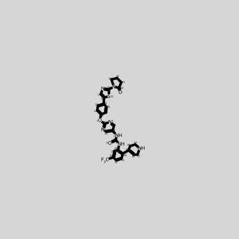 O=C(Nc1cnc(Oc2ccc(-c3cnc(N4CCCC4=O)s3)cc2)nc1)Nc1cc(C(F)(F)F)ccc1C1=CCNCC1